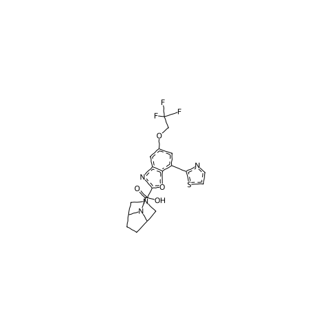 O=C(O)N1C2CCC1CN(c1nc3cc(OCC(F)(F)F)cc(-c4nccs4)c3o1)C2